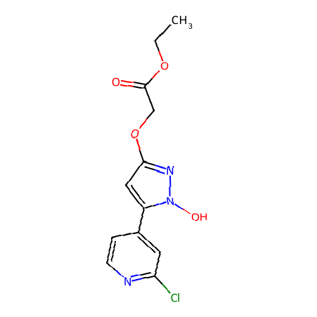 CCOC(=O)COc1cc(-c2ccnc(Cl)c2)n(O)n1